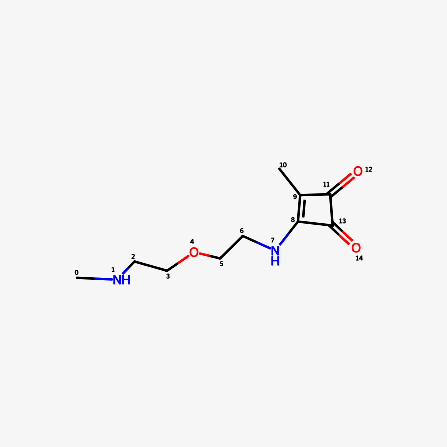 CNCCOCCNc1c(C)c(=O)c1=O